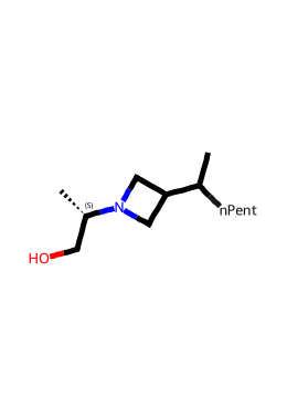 CCCCCC(C)C1CN([C@@H](C)CO)C1